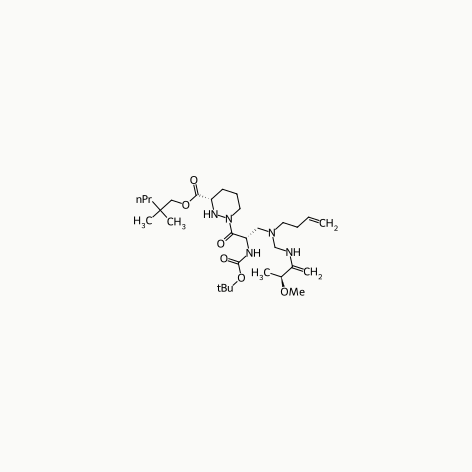 C=CCCN(CNC(=C)[C@H](C)OC)C[C@H](NC(=O)OC(C)(C)C)C(=O)N1CCC[C@@H](C(=O)OCC(C)(C)CCC)N1